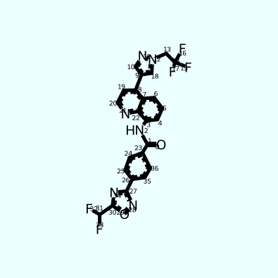 O=C(Nc1cccc2c(-c3cnn(CC(F)(F)F)c3)ccnc12)c1ccc(-c2noc(C(F)F)n2)cc1